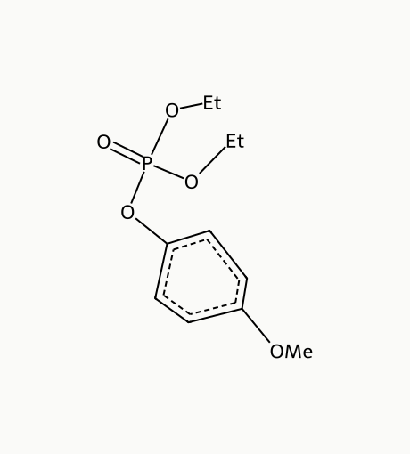 CCOP(=O)(OCC)Oc1ccc(OC)cc1